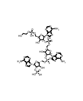 Nc1ncnc2c1ncn2[C@@H]1O[C@H](COP(O)(=S)O[C@H]2C(O)[C@@H](COP(O)(=S)O[C@H]3C(O)[C@@H](COP(=O)(O)OCCO)O[C@H]3n3cnc4c(N)ncnc43)O[C@H]2n2cnc3c(N)ncnc32)C(O)[C@@H]1OP(=O)(O)S